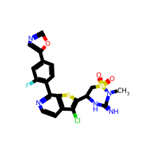 CN1C(=N)NC(c2sc3c(-c4ccc(-c5cnco5)cc4F)nccc3c2Cl)CS1(=O)=O